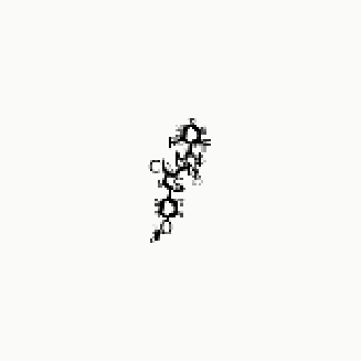 CCOc1ccc(-c2cc(Cl)c(-c3nc(-c4c(F)cccc4F)nn3C)s2)cc1